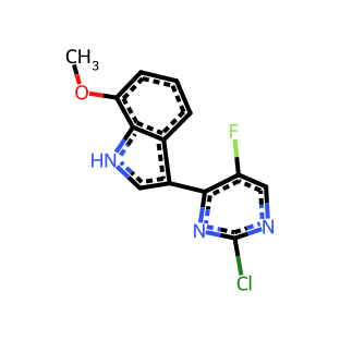 COc1cccc2c(-c3nc(Cl)ncc3F)c[nH]c12